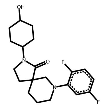 O=C1N(C2CCC(O)CC2)CCC12CCCN(c1cc(F)ccc1F)C2